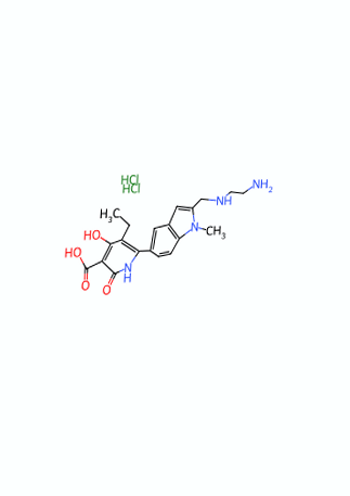 CCc1c(-c2ccc3c(c2)cc(CNCCN)n3C)[nH]c(=O)c(C(=O)O)c1O.Cl.Cl